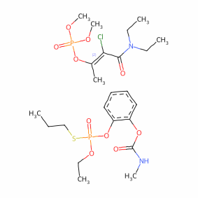 CCCSP(=O)(OCC)Oc1ccccc1OC(=O)NC.CCN(CC)C(=O)/C(Cl)=C(\C)OP(=O)(OC)OC